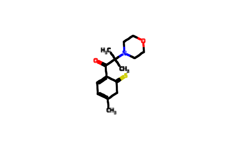 CC1=CC=C(C(=O)C(C)(C)N2CCOCC2)C(=S)C1